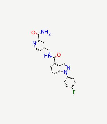 NC(=O)c1cc(CNC(=O)c2cccc3c2cnn3-c2ccc(F)cc2)ccn1